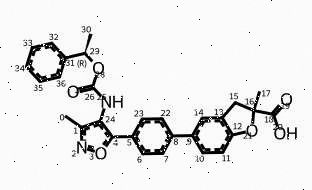 Cc1noc(-c2ccc(-c3ccc4c(c3)CC(C)(C(=O)O)O4)cc2)c1NC(=O)O[C@H](C)c1ccccc1